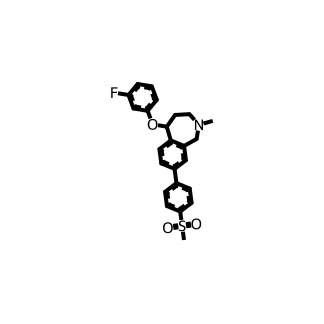 CN1CCC(Oc2cccc(F)c2)c2ccc(-c3ccc(S(C)(=O)=O)cc3)cc2C1